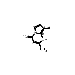 Cc1cc(=O)n2ccc(I)c2o1